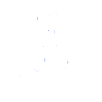 CC(C)(C)CCNC(=O)c1nc(N[C@H]2CCCC[C@H]2NC(=N)c2ccccc2)c2cc(Cl)ccc2n1.Cl.Cl